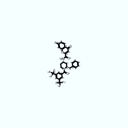 O=C(N[C@H]1CCN(C(=O)c2cc(C(F)(F)F)cc(C(F)(F)F)c2)[C@H](Cc2ccccc2)C1)c1cc(=O)c2ccc(F)cc2o1